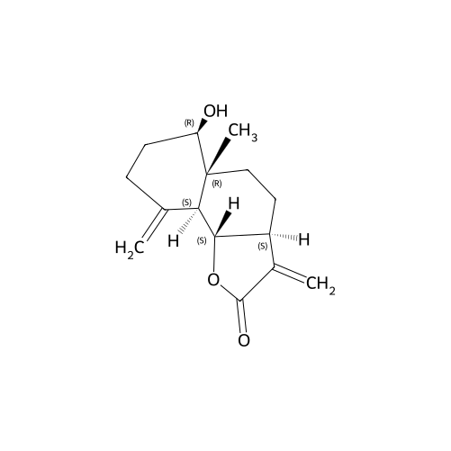 C=C1CC[C@@H](O)[C@]2(C)CC[C@H]3C(=C)C(=O)O[C@@H]3[C@@H]12